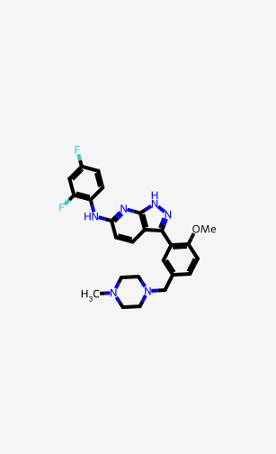 COc1ccc(CN2CCN(C)CC2)cc1-c1n[nH]c2nc(Nc3ccc(F)cc3F)ccc12